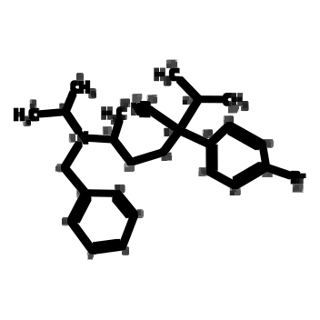 CC(C)N(Cc1ccccc1)C(C)CCC(C#N)(c1ccc(Br)cc1)C(C)C